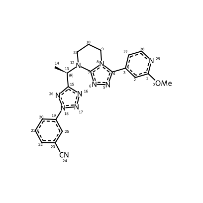 COc1cc(-c2nnc3n2CCCN3[C@H](C)c2nnn(-c3cccc(C#N)c3)n2)ccn1